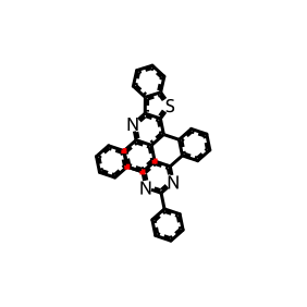 c1ccc(-c2cc(-c3ccccc3-c3c4ccccc4nc4c3sc3ccccc34)nc(-c3ccccc3)n2)cc1